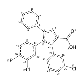 O=C(O)c1nc(-c2ccccc2)n(-c2ccc(F)c(Cl)c2)c1-c1cccc(Cl)c1